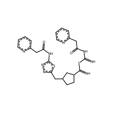 N=C(NC(=O)Cc1ccccn1)SC(=N)C1CCC(Cc2nnc(NC(=O)Cc3ccccn3)s2)C1